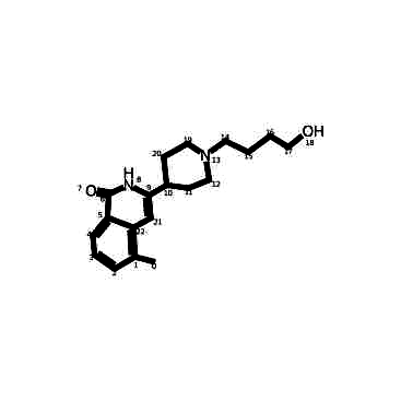 Cc1cccc2c(=O)[nH]c(C3CCN(CCCCO)CC3)cc12